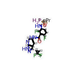 CCC[SH](=O)(P)Nc1ccc(F)c(C(=O)Nc2cnc3[nH]nc([C@@H]4CC4(F)F)c3c2)c1F